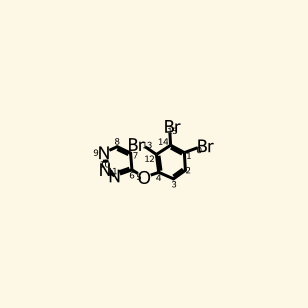 Brc1ccc(Oc2ccnnn2)c(Br)c1Br